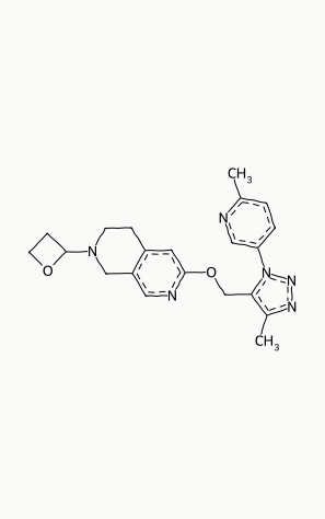 Cc1ccc(-n2nnc(C)c2COc2cc3c(cn2)CN(C2CCO2)CC3)cn1